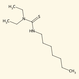 CCCCCCCNC(=S)N(CC)CC